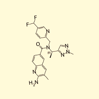 Cc1cc2cc(C(=O)N(Cc3ccc(C(F)F)cn3)[C@H](C)c3cnn(C)n3)ccc2nc1N